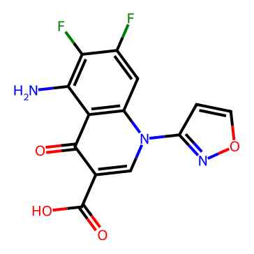 Nc1c(F)c(F)cc2c1c(=O)c(C(=O)O)cn2-c1ccon1